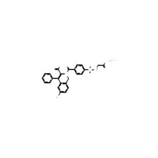 CCC(=O)C1=C(c2ccccc2)c2cc(Br)ccc2CN1C(=O)c1ccc(S(=O)(=O)NCC(=O)OC)cc1